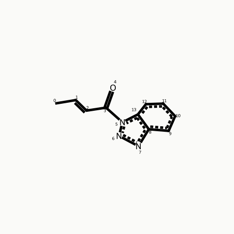 CC=CC(=O)n1nnc2ccccc21